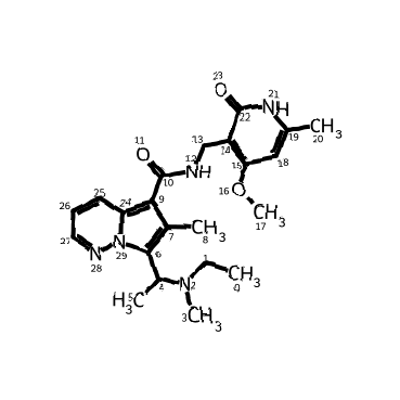 CCN(C)C(C)c1c(C)c(C(=O)NCc2c(OC)cc(C)[nH]c2=O)c2cccnn12